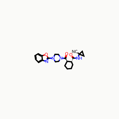 N#CC1(NC(=O)[C@@H]2CCCC[C@H]2C(=O)N2CCN(c3nc4ccccc4o3)CC2)CC1